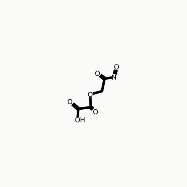 O=NC(=O)COC(=O)C(=O)O